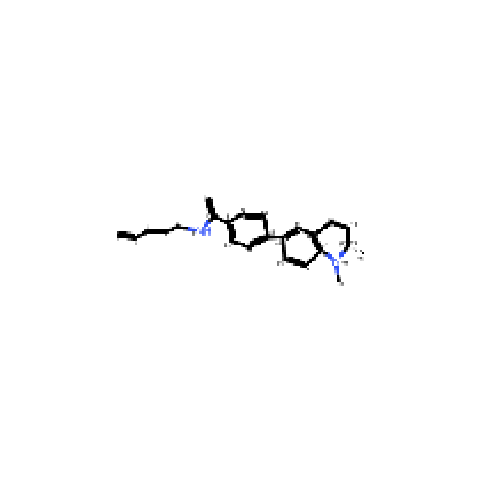 C=CCCCNC(=C)c1ccc(-c2ccc3c(c2)CC[C@H](C)N3C)cc1